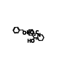 O=C(O)N1CCCC[C@H]1C(O)c1cccc(OCc2ccccc2)c1